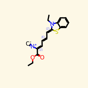 [C-]#[N+]\C(=C/C=C/C=C1\Sc2ccccc2N1CC)C(=O)OCC